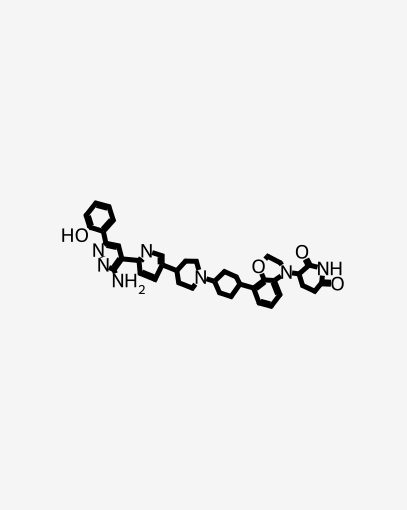 Nc1nnc(-c2ccccc2O)cc1-c1ccc(C2CCN(C3CCC(c4cccc5c4OCCN5C4CCC(=O)NC4=O)CC3)CC2)cn1